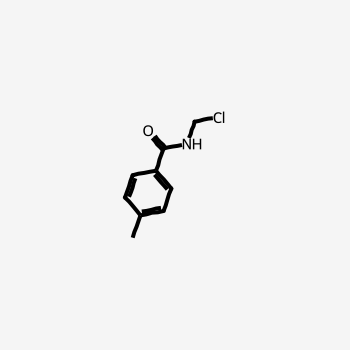 Cc1ccc(C(=O)NCCl)cc1